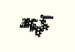 CNC(=O)c1csc(-c2cc(Oc3ccc(NC(=O)Nc4cc(C(C)(C)C)c(N)c(S(C)(=O)=O)c4OC)c4ccccc34)ccn2)n1